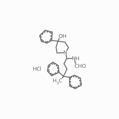 CC(CCC(NC=O)N1CCC(O)(c2ccccc2)CC1)(c1ccccc1)c1ccccc1.Cl